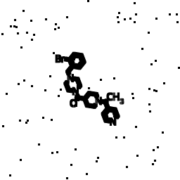 CC(c1ccncc1)N1CCC(C(=O)N2CCN(Cc3ccccc3Br)CC2)CC1